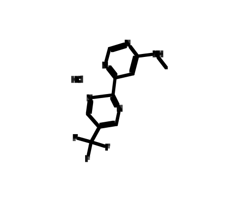 CNc1cc(-c2ncc(C(F)(F)F)cn2)ncn1.Cl